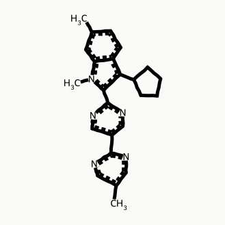 Cc1cnc(-c2cnc(-c3c(C4CCCC4)c4ccc(C)cc4n3C)nc2)nc1